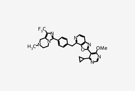 COc1ncnc(C2CC2)c1-c1nc2ccnc(Cc3ccc(-c4nc(C(F)(F)F)c5n4CCN(C)C5)cc3)c2o1